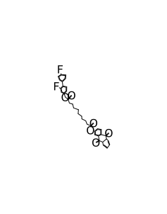 O=C(CCCCCCCCCC(=O)Oc1ccc2c(c1)C(=O)C1C=CC=CC1C2=O)Oc1ccc(-c2ccc(F)cc2)c(F)c1